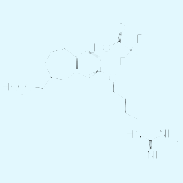 N=C(N)NCCCCOc1ccc2c(c1)CC(CC(=O)O)CCC2.O=C(O)C(F)(F)F